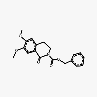 COc1cc2c(cc1OC)C(=O)N(C(=O)OCc1ccccc1)CC2